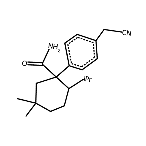 CC(C)C1CCC(C)(C)CC1(C(N)=O)c1ccc(CC#N)cc1